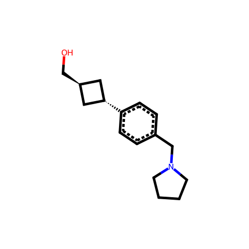 OC[C@H]1C[C@H](c2ccc(CN3CCCC3)cc2)C1